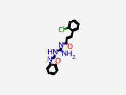 N/C(=N\C(=O)/C=C/c1ccccc1Cl)Nc1nc2ccccc2o1